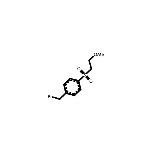 COCCS(=O)(=O)c1ccc(CBr)cc1